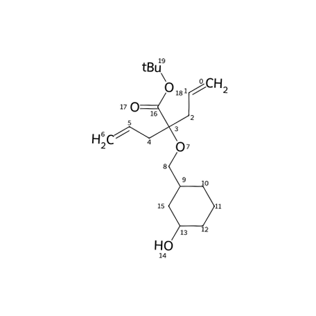 C=CCC(CC=C)(OCC1CCCC(O)C1)C(=O)OC(C)(C)C